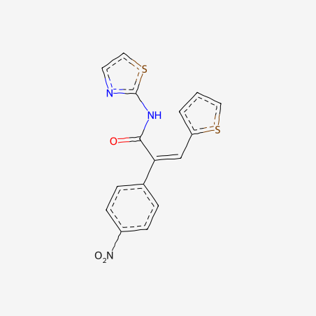 O=C(Nc1nccs1)C(=Cc1cccs1)c1ccc([N+](=O)[O-])cc1